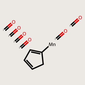 [C]=O.[C]=O.[C]=O.[C]=O.[C]=O.[C]=O.[Mn][C]1=CC=CC1